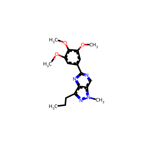 CCCc1nn(C)c2[c]nc(-c3cc(OC)c(OC)c(OC)c3)nc12